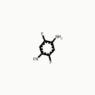 [C-]#[N+]c1cc(F)c(N)cc1F